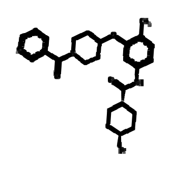 Cc1ccc(NC(=O)[C@H]2CC[C@H](C(C)C)CC2)cc1OC1CCN(C(=O)c2cccnc2)CC1